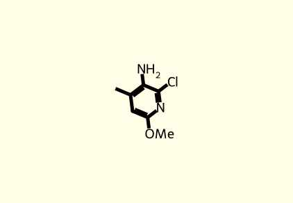 COc1cc(C)c(N)c(Cl)n1